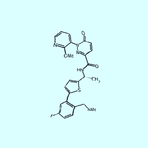 CNCc1ccc(F)cc1-c1ccc([C@@H](C)NC(=O)c2ccc(=O)n(-c3cccnc3OC)n2)s1